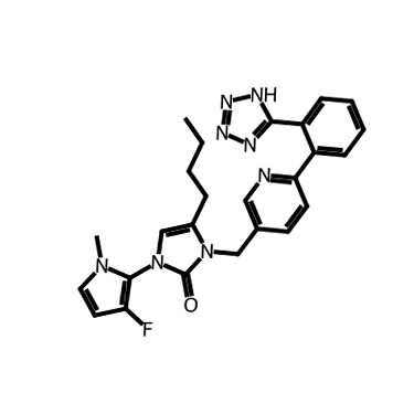 CCCCc1cn(-c2c(F)ccn2C)c(=O)n1Cc1ccc(-c2ccccc2-c2nnn[nH]2)nc1